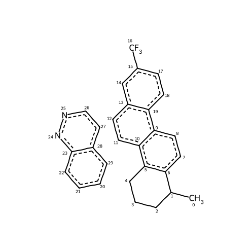 CC1CCCc2c1ccc1c2ccc2cc(C(F)(F)F)ccc21.c1ccc2nnccc2c1